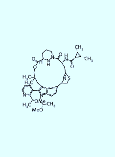 CO[C@@H](C)c1ncccc1-c1c2c3cc(ccc3n1C[C@H](C)OC)C1CSC(=N1)C[C@H](NC(=O)[C@H]1[C@H](C)[C@@H]1C)C(=O)N1CCC[C@H](N1)C(=O)OCC(C)(C)C2